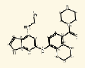 CC(C)CNc1cc(Nc2ccc(C(=O)N3CCOCC3)c3c2OCCO3)nc2[nH]ccc12